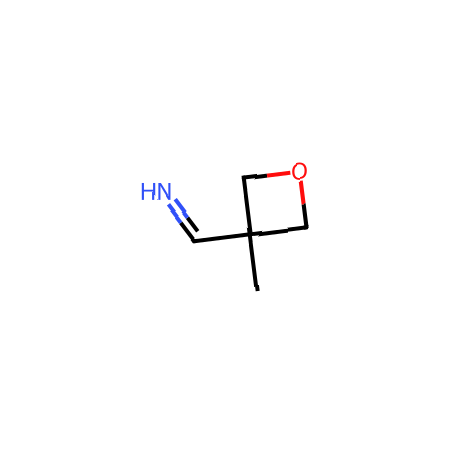 CC1(C=N)COC1